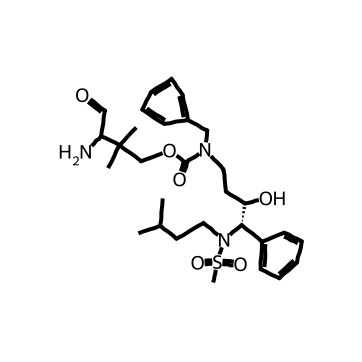 CC(C)CCN([C@@H](c1ccccc1)C(O)CCN(Cc1ccccc1)C(=O)OCC(C)(C)C(N)C=O)S(C)(=O)=O